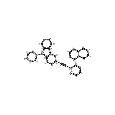 C(#Cc1ncccc1-c1cccc2ccccc12)c1ccc2c(c1)c1ccccc1n2-c1ccccc1